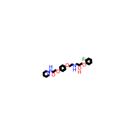 O=C(COc1ccc(OCCNCC(O)COc2ccccc2F)cc1)NN1CCCCC1